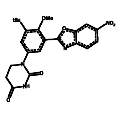 COc1c(-c2nc3ccc([N+](=O)[O-])cc3o2)cc(N2CCC(=O)NC2=O)cc1C(C)(C)C